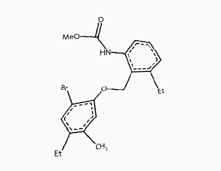 CCc1cc(Br)c(OCc2c(CC)cccc2NC(=O)OC)cc1C